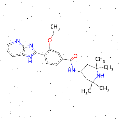 CCOc1cc(C(=O)NC2CC(C)(C)NC(C)(C)C2)ccc1-c1nc2ncccc2[nH]1